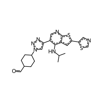 CC(C)Nc1c(-c2cn(C3CCC(C=O)CC3)nn2)cnc2sc(-c3cncs3)cc12